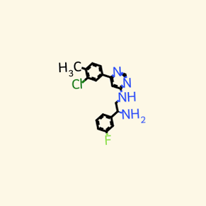 Cc1ccc(-c2cc(NC[C@@H](N)c3cccc(F)c3)ncn2)cc1Cl